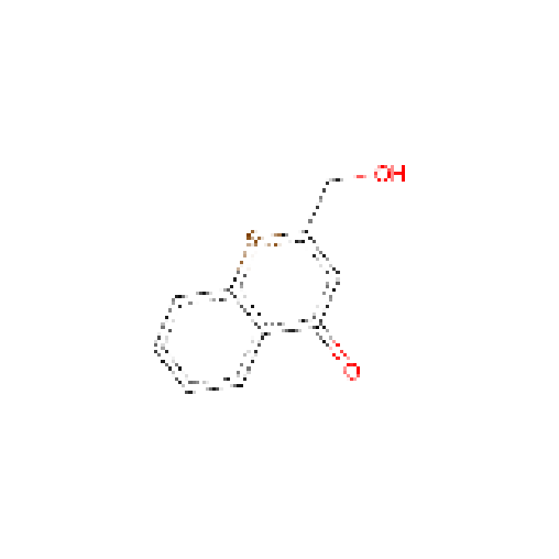 O=c1cc(CO)sc2ccccc12